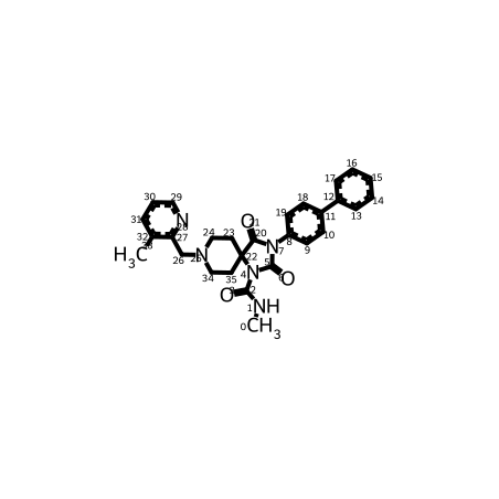 CNC(=O)N1C(=O)N(c2ccc(-c3ccccc3)cc2)C(=O)C12CCN(Cc1ncccc1C)CC2